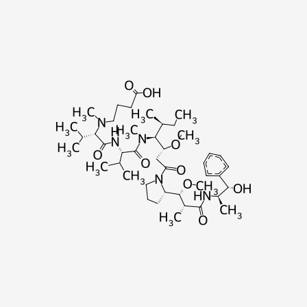 CC[C@H](C)[C@@H]([C@@H](CC(=O)N1CCC[C@H]1[C@H](OC)[C@@H](C)C(=O)N[C@H](C)[C@@H](O)c1ccccc1)OC)N(C)C(=O)[C@@H](NC(=O)[C@H](C(C)C)N(C)CCCC(=O)O)C(C)C